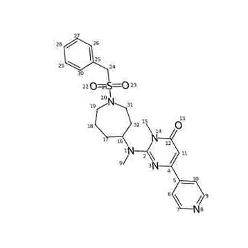 CN(c1nc(-c2ccncc2)cc(=O)n1C)C1CCCN(S(=O)(=O)Cc2ccccc2)CC1